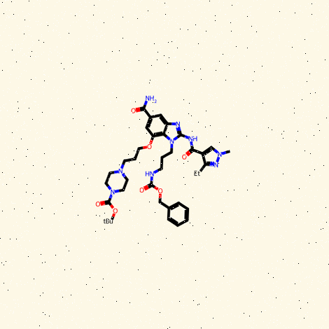 CCc1nn(C)cc1C(=O)Nc1nc2cc(C(N)=O)cc(OCCCN3CCN(C(=O)OC(C)(C)C)CC3)c2n1CCCNC(=O)OCc1ccccc1